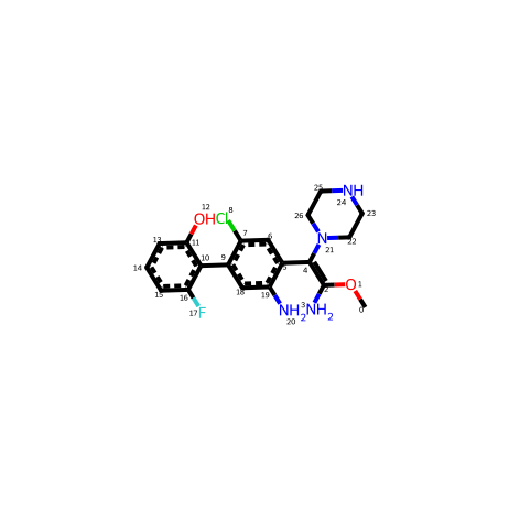 CO/C(N)=C(/c1cc(Cl)c(-c2c(O)cccc2F)cc1N)N1CCNCC1